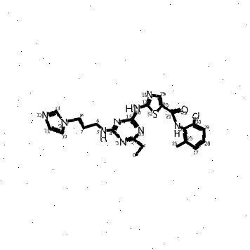 CCc1nc(NCCCn2ccnc2)nc(Nc2ncc(C(=O)Nc3c(C)cccc3Cl)s2)n1